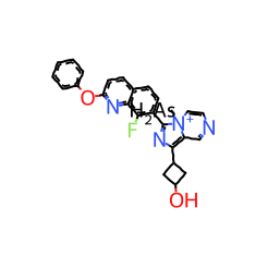 OC1CC(C2=C3C=NC=C[N+]3([AsH2])C(c3ccc4ccc(Oc5ccccc5)nc4c3F)=N2)C1